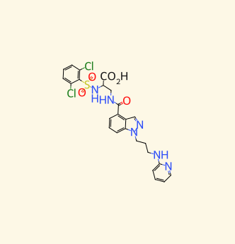 O=C(NCC(NS(=O)(=O)c1c(Cl)cccc1Cl)C(=O)O)c1cccc2c1cnn2CCCNc1ccccn1